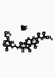 CCOC(=O)NC(CCCC(=O)N[C@@H]1C(=O)N2C(C(=O)[O-])=C(COC(=O)CC(C)=O)CS[C@@H]12)C(=O)[O-].[Na+].[Na+]